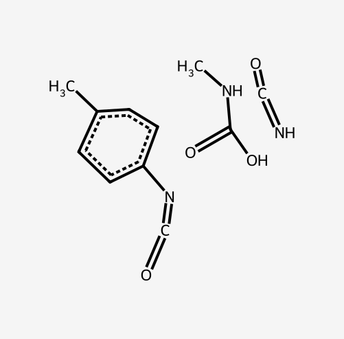 CNC(=O)O.Cc1ccc(N=C=O)cc1.N=C=O